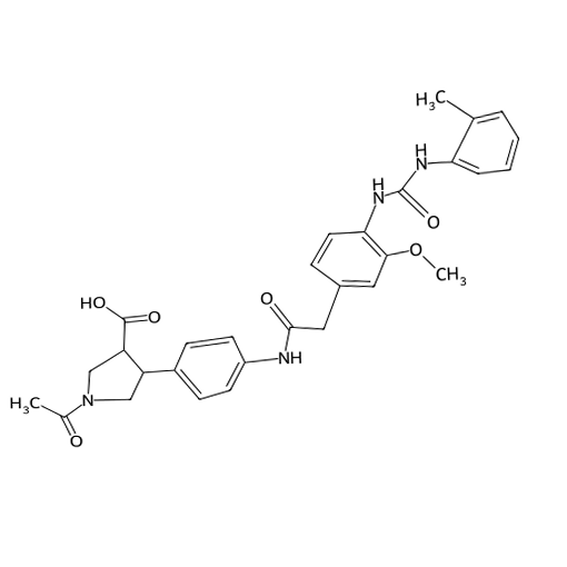 COc1cc(CC(=O)Nc2ccc(C3CN(C(C)=O)CC3C(=O)O)cc2)ccc1NC(=O)Nc1ccccc1C